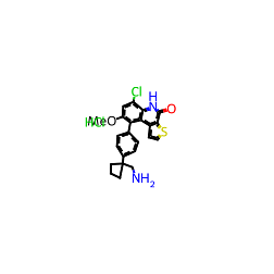 COc1cc(Cl)c2[nH]c(=O)c3sccc3c2c1-c1ccc(C2(CN)CCC2)cc1.Cl